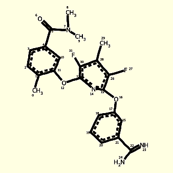 Cc1ccc(C(=O)N(C)C)cc1Oc1nc(Oc2cccc(C(=N)N)c2)c(F)c(C)c1F